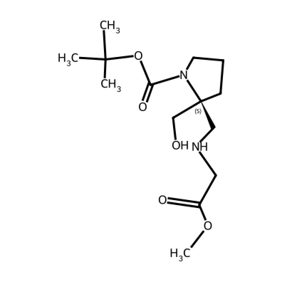 COC(=O)CNC[C@]1(CO)CCCN1C(=O)OC(C)(C)C